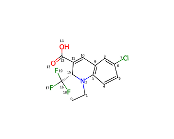 CCN1c2ccc(Cl)cc2C=C(C(=O)O)[C@H]1C(F)(F)F